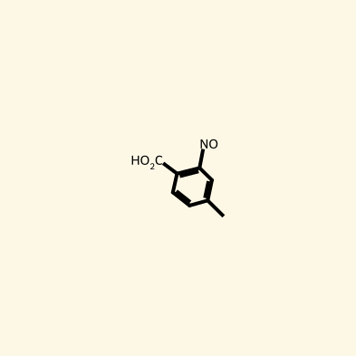 Cc1ccc(C(=O)O)c(N=O)c1